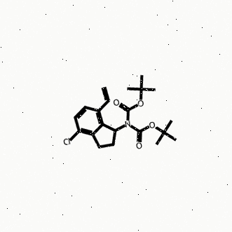 C=Cc1ccc(Cl)c2c1C(N(C(=O)OC(C)(C)C)C(=O)OC(C)(C)C)CC2